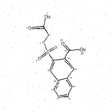 O=C(O)COS(=O)(=O)c1cc2ccccc2cc1C(=O)O